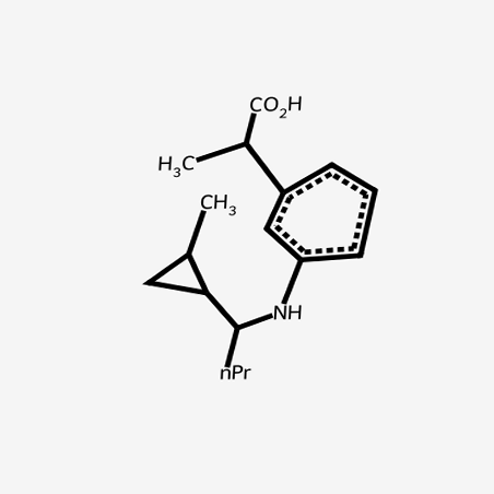 CCCC(Nc1cccc(C(C)C(=O)O)c1)C1CC1C